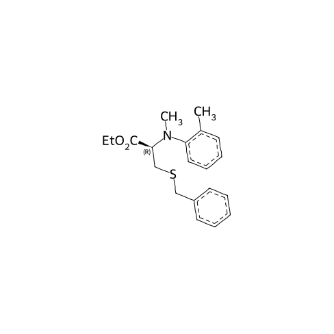 CCOC(=O)[C@H](CSCc1ccccc1)N(C)c1ccccc1C